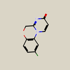 O=c1ccn2c(n1)COc1ccc(Cl)cc1-2